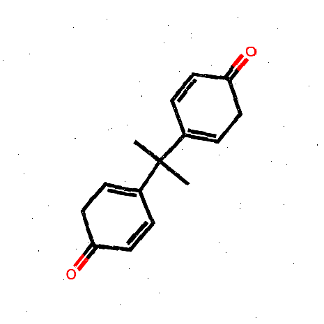 CC(C)(C1=CCC(=O)C=C1)C1=CCC(=O)C=C1